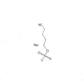 N#CCCCCOS(=O)(=O)[S-].[Na+]